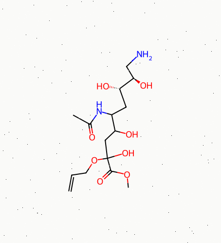 C=CCOC(O)(CC(O)C(C[C@H](O)[C@H](O)CN)NC(C)=O)C(=O)OC